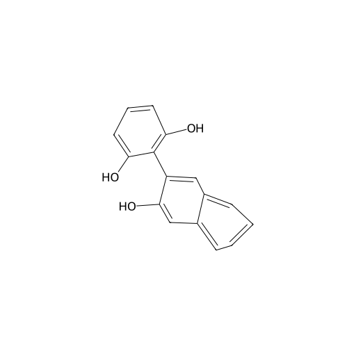 Oc1cc2ccccc2cc1-c1c(O)cccc1O